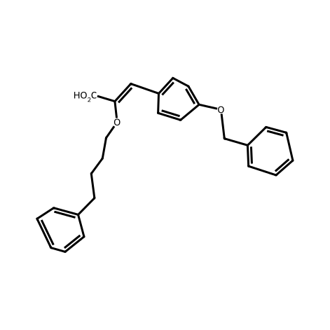 O=C(O)/C(=C/c1ccc(OCc2ccccc2)cc1)OCCCCc1ccccc1